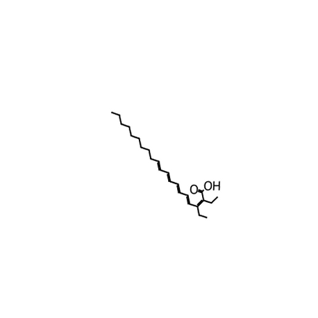 CCCCCCCCCC=CC=CC=CC=CC(CC)=C(CC)C(=O)O